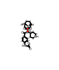 O=C(N[C@@H]1C[C@H]2CC[C@@H](C1)N2S(=O)(=O)CC1CCNCC1)c1ccc2[nH]c(=O)oc2c1